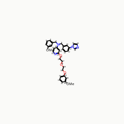 COc1cccc(CN(Cc2cccc(-n3ccnc3)c2)c2ccnc(OCCOCCOc3cccc(OC)c3)c2)c1